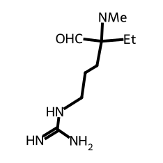 CCC(C=O)(CCCNC(=N)N)NC